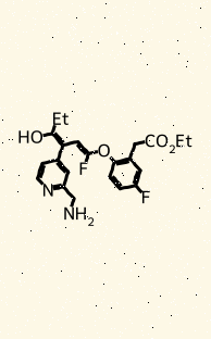 CCOC(=O)Cc1cc(F)ccc1O/C(F)=C/C(=C(/O)CC)c1ccnc(CN)c1